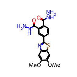 COc1cc2nc(-c3ccc(C(=O)NN)c(C(=O)NN)c3)sc2cc1OC